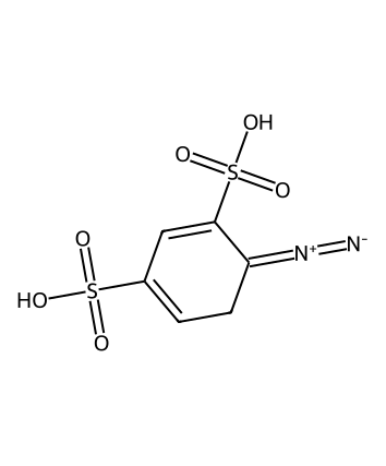 [N-]=[N+]=C1CC=C(S(=O)(=O)O)C=C1S(=O)(=O)O